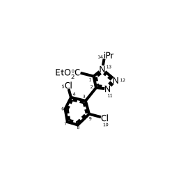 CCOC(=O)c1c(-c2c(Cl)cccc2Cl)nnn1C(C)C